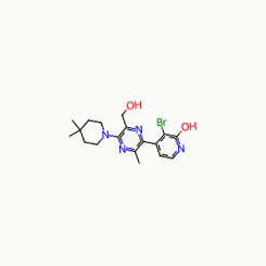 Cc1nc(N2CCC(C)(C)CC2)c(CO)nc1-c1ccnc(O)c1Br